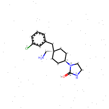 NC[C@]1(Cc2cccc(Cl)c2)CC[C@@H](N2CCNC2=O)CC1